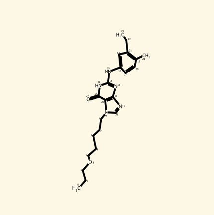 CCCOCCCCCn1cnc2nc(Nc3ccc(C)c(CC)c3)[nH]c(=O)c21